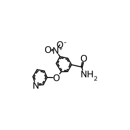 NC(=O)c1cc(Oc2cccnc2)cc([N+](=O)[O-])c1